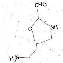 NCC1CNC(C=O)O1